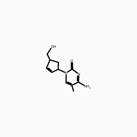 Cc1cn(C2C=CC(CO)C2)c(=O)nc1N